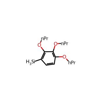 CCCOc1ccc([SiH3])c(OCCC)c1OCCC